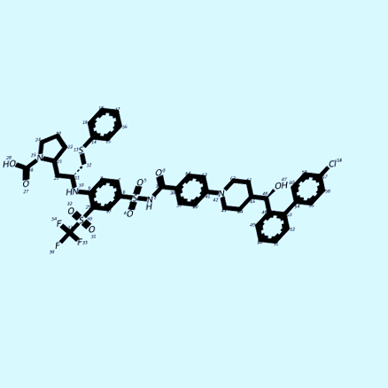 O=C(NS(=O)(=O)c1ccc(N[C@@H](CSc2ccccc2)CC2CCCN2C(=O)O)c(S(=O)(=O)C(F)(F)F)c1)c1ccc(N2CCC([C@@H](O)c3ccccc3-c3ccc(Cl)cc3)CC2)cc1